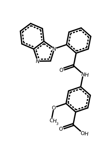 COc1cc(NC(=O)c2ccccc2-n2cnc3ccccc32)ccc1C(=O)O